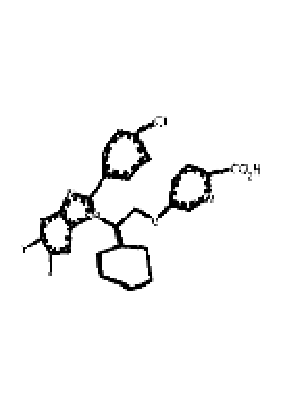 O=C(O)c1ccc(OCC(C2CCCCC2)n2c(-c3ccc(Cl)cc3)nc3cc(F)c(F)cc32)cn1